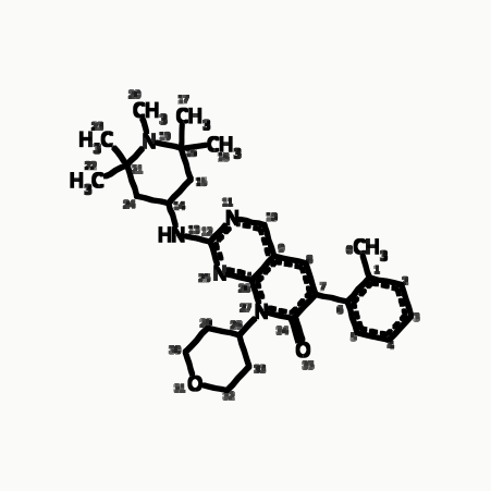 Cc1ccccc1-c1cc2cnc(NC3CC(C)(C)N(C)C(C)(C)C3)nc2n(C2CCOCC2)c1=O